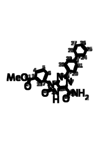 COC(=O)c1cccc(-n2c(=O)[nH]c3c(C(N)=O)nc(-c4ccc(-c5ccccc5)cc4)nc32)c1